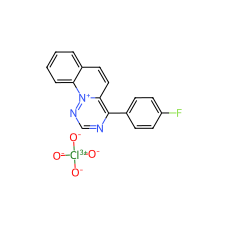 Fc1ccc(-c2ncn[n+]3c2ccc2ccccc23)cc1.[O-][Cl+3]([O-])([O-])[O-]